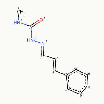 CNC(=O)N/N=C/C=Cc1ccccc1